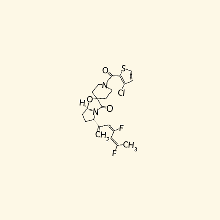 C=C(/C=C(F)\C=C(/C)F)[C@@H]1CC[C@H]2OC3(CCN(C(=O)c4sccc4Cl)CC3)C(=O)N21